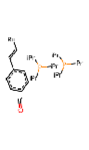 CC(C)P(C(C)C)C(C)C.CC(C)P(C(C)C)C(C)C.[C]=O.[Ru][CH]=Cc1ccccc1